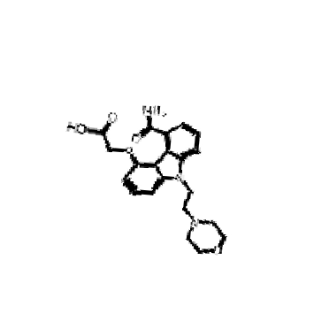 NC(=O)c1cccc2c1c1c(OCC(=O)O)cccc1n2CCN1CCOCC1